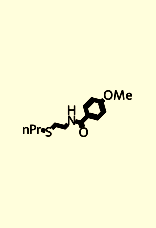 CCCSCCNC(=O)c1ccc(OC)cc1